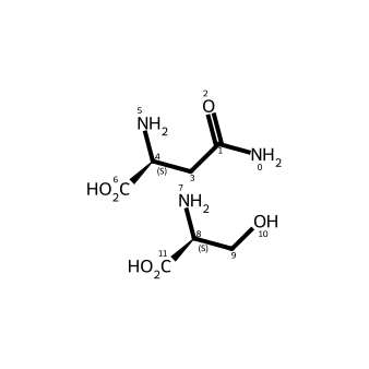 NC(=O)C[C@H](N)C(=O)O.N[C@@H](CO)C(=O)O